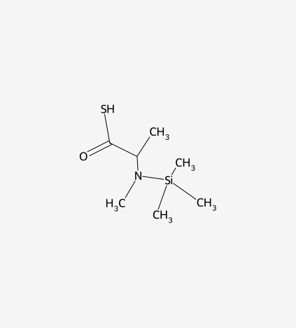 CC(C(=O)S)N(C)[Si](C)(C)C